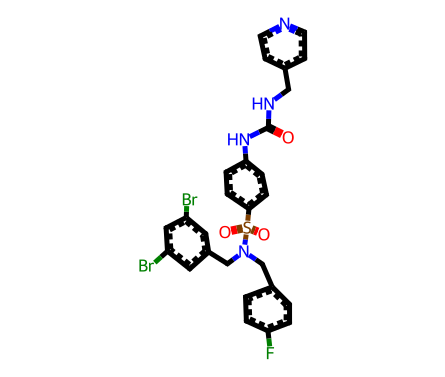 O=C(NCc1ccncc1)Nc1ccc(S(=O)(=O)N(Cc2ccc(F)cc2)Cc2cc(Br)cc(Br)c2)cc1